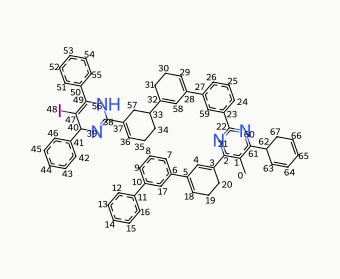 Cc1c(C2=CC(c3cccc(-c4ccccc4)c3)=CCC2)nc(-c2cccc(C3=CCCC(C4CCC=C(C5=NC(c6ccccc6)C(I)=C(c6ccccc6)N5)C4)=C3)c2)nc1C1C=CC=CC1